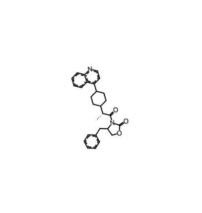 C[C@@H](C(=O)N1C(=O)OCC1Cc1ccccc1)C1CCC(c2ccnc3ccccc23)CC1